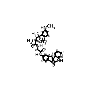 CNc1cccc(C(C)(C)CC(C)(C)C(=O)NCC(=O)Nc2ccc3c(c2)CC2(C3)C(=O)Nc3ncccc32)c1